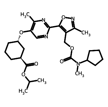 Cc1nc(-c2onc(C)c2COC(=O)N(C)C2CCCC2)ncc1O[C@H]1CCC[C@H](C(=O)OC(C)C)C1